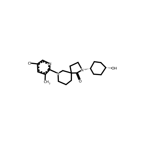 Cc1cc(Cl)cnc1N1CCCC2(CCN([C@H]3CC[C@@H](O)CC3)C2=O)C1